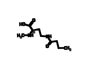 CCCC(=O)NCC[C@@H](NC)C(=O)O